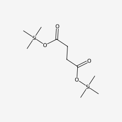 C[Si](C)(C)OC(=O)CCC(=O)O[Si](C)(C)C